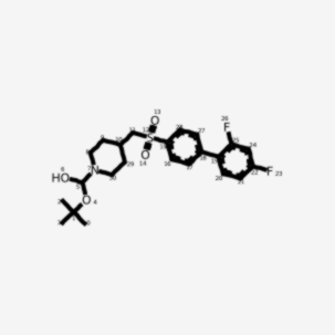 CC(C)(C)OC(O)N1CCC(CS(=O)(=O)c2ccc(-c3ccc(F)cc3F)cc2)CC1